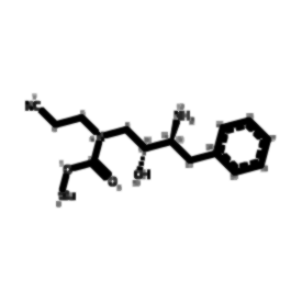 CC(C)(C)OC(=O)N(CCC#N)C[C@@H](O)[C@@H](N)Cc1ccccc1